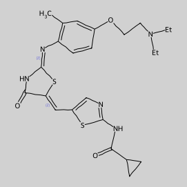 CCN(CC)CCOc1ccc(/N=C2/NC(=O)/C(=C/c3cnc(NC(=O)C4CC4)s3)S2)c(C)c1